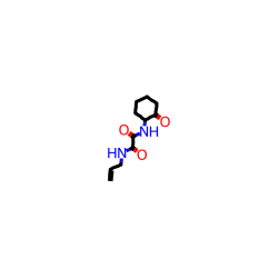 C=CCNC(=O)C(=O)NC1CCCCC1=O